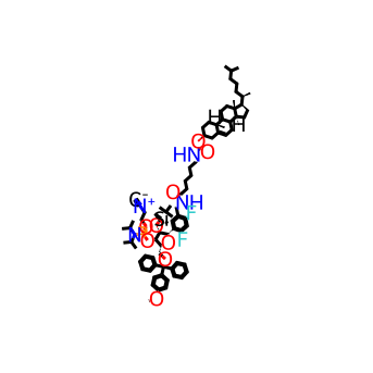 [C-]#[N+]CCOP(OC1[C@@H](COC(c2ccccc2)(c2ccccc2)c2ccc(OC)cc2)O[C@@H](c2cc(CNC(=O)CCCCCNC(=O)O[C@H]3CC[C@@]4(C)C(=CCC5[C@@H]6CC[C@H]([C@H](C)CCCC(C)C)[C@@]6(C)CC[C@@H]54)C3)c(F)cc2F)[C@H]1O[Si](C)(C)C(C)(C)C)N(C(C)C)C(C)C